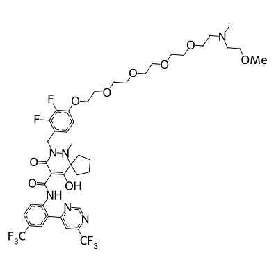 COCCN(C)CCOCCOCCOCCOCCOc1ccc(CN2C(=O)C(C(=O)Nc3ccc(C(F)(F)F)cc3-c3cc(C(F)(F)F)ncn3)=C(O)C3(CCCC3)N2C)c(F)c1F